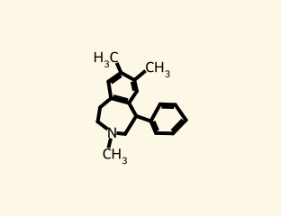 Cc1cc2c(cc1C)C(c1ccccc1)CN(C)CC2